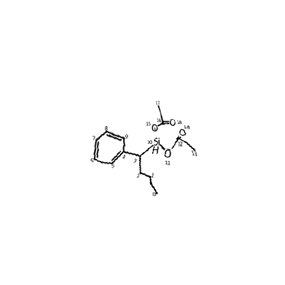 CCCC(c1ccccc1)[SiH](OC(C)=O)OC(C)=O